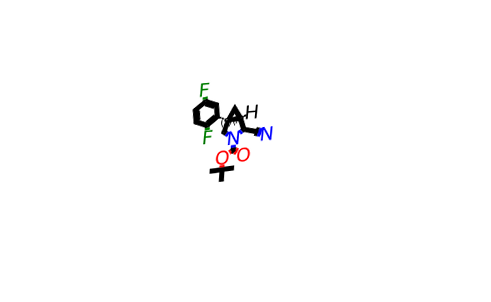 CC(C)(C)OC(=O)N1C[C@@]2(c3cc(F)ccc3F)C[C@H]2C1C#N